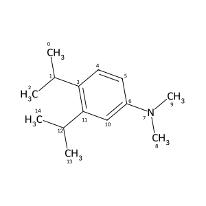 CC(C)c1ccc(N(C)C)cc1C(C)C